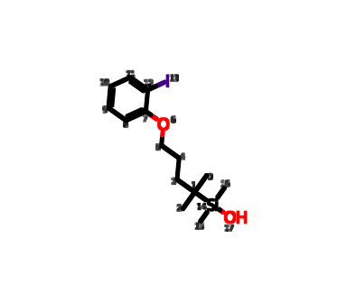 CC(C)(CCCOc1ccccc1I)[Si](C)(C)O